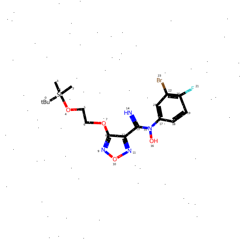 CC(C)(C)[Si](C)(C)OCCOc1nonc1C(=N)N(O)c1ccc(F)c(Br)c1